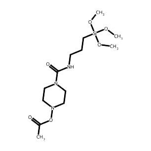 CO[Si](CCCNC(=O)N1CCN(OC(C)=O)CC1)(OC)OC